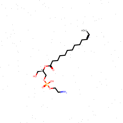 CCCCCCCC/C=C\CCCCCCCCCC(=O)O[C@H](CO)COP(=O)(O)OCCN